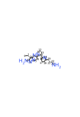 C=Cc1c(N)nn2ccc(N3CCCC3c3cccc(CCCN)n3)nc12